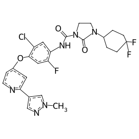 Cn1cc(-c2cc(Oc3cc(F)c(NC(=O)N4CCN(C5CCC(F)(F)CC5)C4=O)cc3Cl)ccn2)cn1